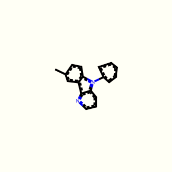 Cc1ccc2c(c1)c1ncccc1n2-c1ccccc1